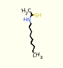 CCCCCCCCCNC(C)S